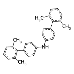 Cc1cccc(C)c1-c1ccc(Nc2ccc(-c3c(C)cccc3C)cc2)cc1